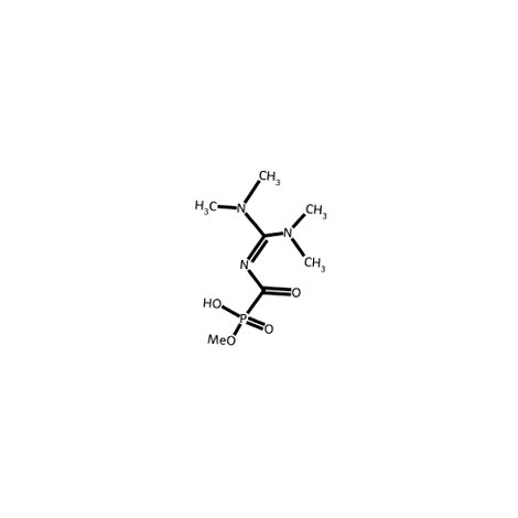 COP(=O)(O)C(=O)N=C(N(C)C)N(C)C